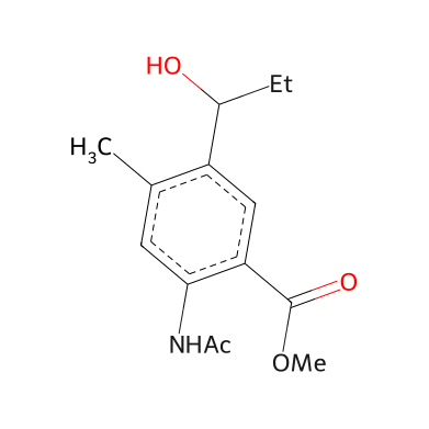 CCC(O)c1cc(C(=O)OC)c(NC(C)=O)cc1C